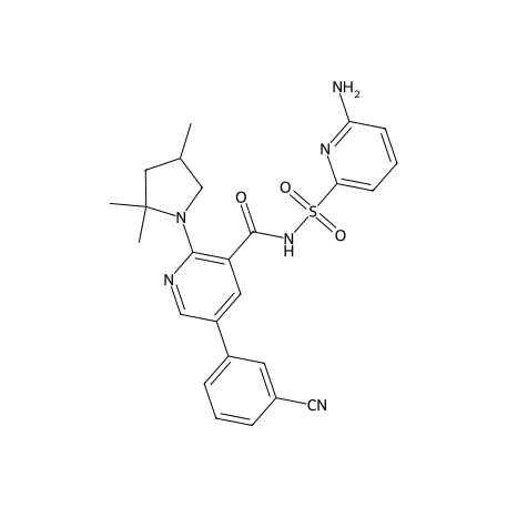 CC1CN(c2ncc(-c3cccc(C#N)c3)cc2C(=O)NS(=O)(=O)c2cccc(N)n2)C(C)(C)C1